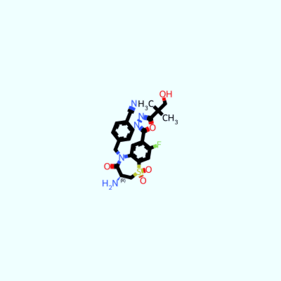 CC(C)(CO)c1nnc(-c2cc3c(cc2F)S(=O)(=O)C[C@H](N)C(=O)N3Cc2ccc(C#N)cc2)o1